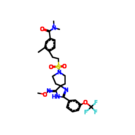 CO/N=C1\NC(c2cccc(OC(F)(F)F)c2)=NC12CCN(S(=O)(=O)CCc1ccc(C(=O)N(C)C)cc1C)CC2